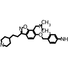 CN(C)Cc1c(OCc2ccc(N)cc2)ccc2c(CCC3CCNCC3)noc12